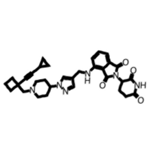 O=C1CCC(N2C(=O)c3cccc(NCc4cnn(C5CCN(CC6(C#CC7CC7)CCC6)CC5)c4)c3C2=O)C(=O)N1